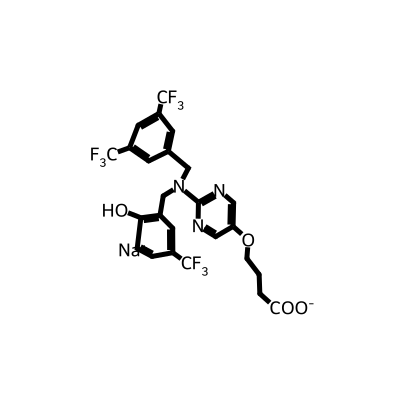 O=C([O-])CCCOc1cnc(N(Cc2cc(C(F)(F)F)cc(C(F)(F)F)c2)Cc2cc(C(F)(F)F)ccc2O)nc1.[Na+]